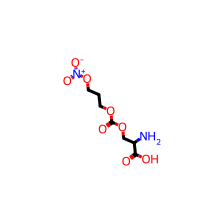 NC(COC(=O)OCCCO[N+](=O)[O-])C(=O)O